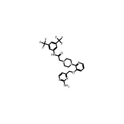 Nc1nccc(COc2cccnc2N2CCN(CC(=O)Nc3cc(C(F)(F)F)cc(C(F)(F)F)c3)CC2)n1